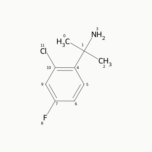 CC(C)(N)c1ccc(F)cc1Cl